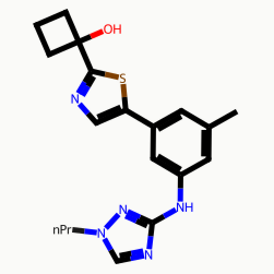 CCCn1cnc(Nc2cc(C)cc(-c3cnc(C4(O)CCC4)s3)c2)n1